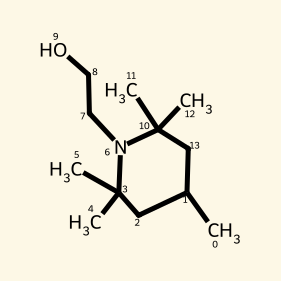 CC1CC(C)(C)N(CCO)C(C)(C)C1